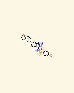 COc1ccc(S(=O)(=O)Nc2n[nH]c3cc(-c4ccc5c(c4)CCO5)ccc23)cc1